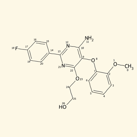 COc1ccccc1Oc1c(N)nc(-c2ccc(F)cc2)nc1OCCO